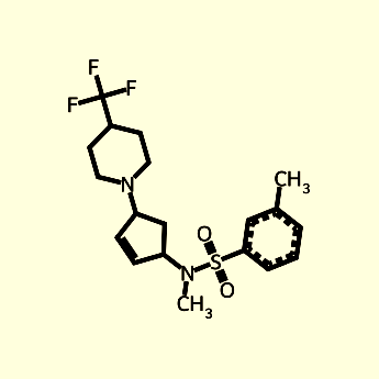 Cc1cccc(S(=O)(=O)N(C)C2C=CC(N3CCC(C(F)(F)F)CC3)C2)c1